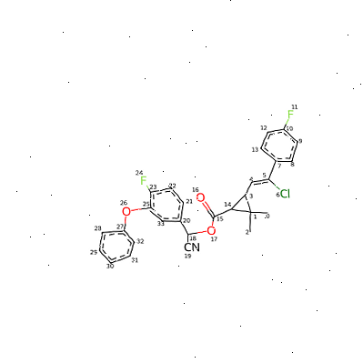 CC1(C)C(C=C(Cl)c2ccc(F)cc2)C1C(=O)OC(C#N)c1ccc(F)c(Oc2ccccc2)c1